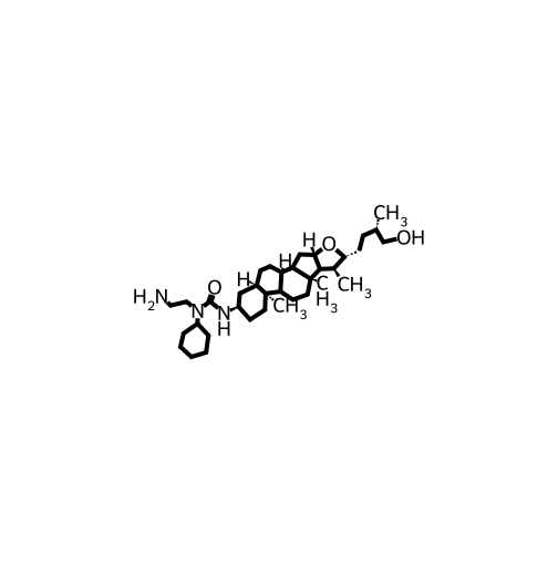 C[C@H](CO)CC[C@H]1O[C@H]2CC3[C@@H]4CC[C@@H]5C[C@H](NC(=O)N(CCN)C6CCCCC6)CC[C@]5(C)C4CC[C@]3(C)C2[C@@H]1C